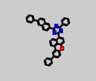 c1ccc(-c2ccc3c(c2)-c2cccc4c(-c5nc(-c6ccccc6)nc(-c6ccc7cc(-c8ccccc8)ccc7c6)n5)ccc(c24)O3)cc1